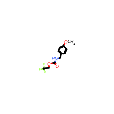 COc1ccc(CNC(=O)OCC(F)(F)F)cc1